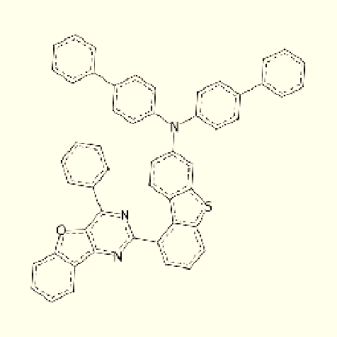 c1ccc(-c2ccc(N(c3ccc(-c4ccccc4)cc3)c3ccc4c(c3)sc3cccc(-c5nc(-c6ccccc6)c6oc7ccccc7c6n5)c34)cc2)cc1